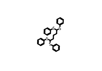 c1ccc(SC(CCCC(Sc2ccccc2)Sc2ccccc2)Sc2ccccc2)cc1